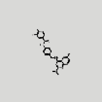 Cc1ccc2nc(N(C)C)nc(NCc3ccc(NC(=O)c4ccc(F)c(F)c4)cc3)c2c1